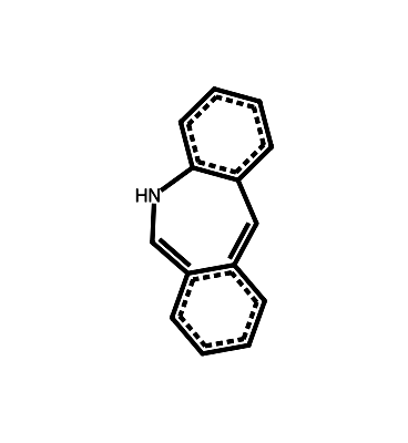 C1=c2ccccc2=Cc2ccccc2N1